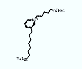 CCCCCCCCCCCCCCCCCc1ccc[n+](CCCCCCCCCCCCCCC)c1